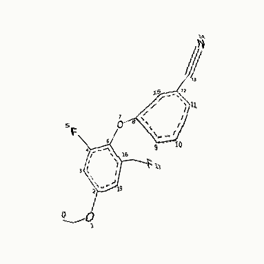 COc1cc(F)c(Oc2cccc(C#N)c2)c(F)c1